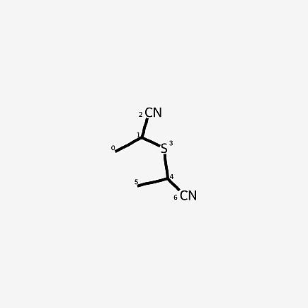 CC(C#N)SC(C)C#N